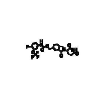 O=C1CCC(N2Cc3ccc(COC(=O)Nc4ccc(F)c(OC(F)(F)F)c4)cc3C2=O)C(=O)N1